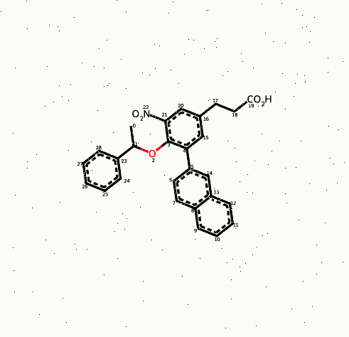 CC(Oc1c(-c2ccc3ccccc3c2)cc(CCC(=O)O)cc1[N+](=O)[O-])c1ccccc1